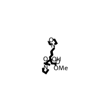 COC(=O)CC(O)(C/C=C/CN1CCOCC1)C(=O)C(C)(C)N1CCCC1